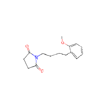 COc1ccccc1CCCCN1C(=O)CCC1=O